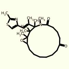 CC(=Cc1csc(C)n1)C1(C)N(C)C(=O)CCCC(=O)CCCCCCC2OC2(C)C1(C)C